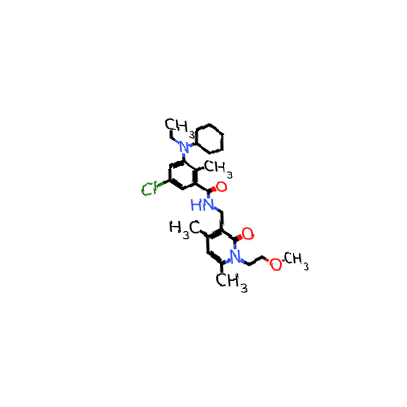 CCN(c1cc(Cl)cc(C(=O)NCc2c(C)cc(C)n(CCOC)c2=O)c1C)C1CCCCC1